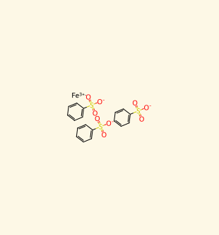 O=S(=O)([O-])c1ccccc1.O=S(=O)([O-])c1ccccc1.O=S(=O)([O-])c1ccccc1.[Fe+3]